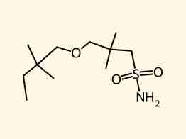 CCC(C)(C)COCC(C)(C)CS(N)(=O)=O